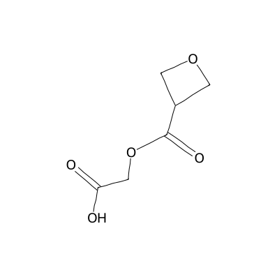 O=C(O)COC(=O)C1COC1